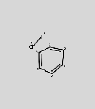 ClI.c1ccccc1